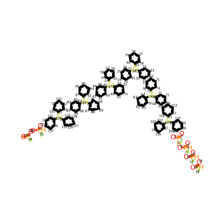 O=[PH]([O-])F.O=[PH]([O-])F.O=[PH]([O-])F.O=[PH]([O-])F.O=[PH]([O-])F.O=[PH]([O-])F.c1ccc([S+](c2ccccc2)c2ccccc2)cc1.c1ccc([S+](c2ccccc2)c2ccccc2)cc1.c1ccc([S+](c2ccccc2)c2ccccc2)cc1.c1ccc([S+](c2ccccc2)c2ccccc2)cc1.c1ccc([S+](c2ccccc2)c2ccccc2)cc1.c1ccc([S+](c2ccccc2)c2ccccc2)cc1